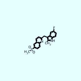 Cc1[nH]c2ccc(F)cc2c1Cc1ccc2cc(S(C)(=O)=O)ccc2n1